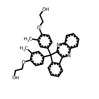 Cc1cc(C2(c3ccc(OCCO)c(C)c3)c3ccccc3-c3nc4ccccc4nc32)ccc1OCCO